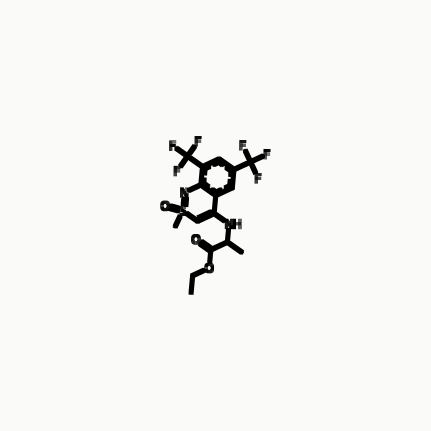 CCOC(=O)C(C)NC1=CS(C)(=O)=Nc2c1cc(C(F)(F)F)cc2C(F)(F)F